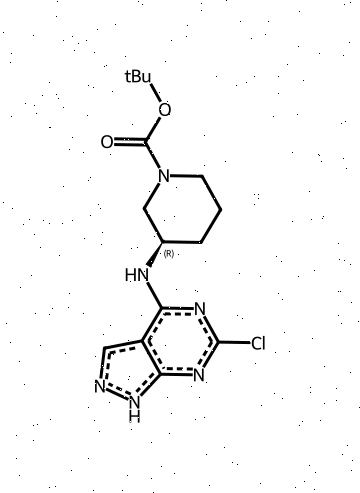 CC(C)(C)OC(=O)N1CCC[C@@H](Nc2nc(Cl)nc3[nH]ncc23)C1